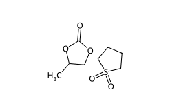 CC1COC(=O)O1.O=S1(=O)CCCC1